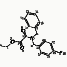 CCOC(=O)C(=O)N(Cc1ccccc1)Cc1ccc(F)cc1